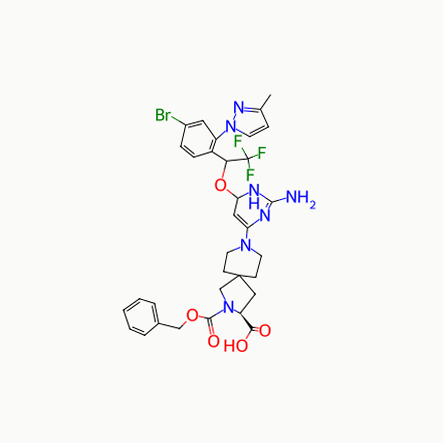 Cc1ccn(-c2cc(Br)ccc2C(OC2C=C(N3CCC4(CC3)C[C@@H](C(=O)O)N(C(=O)OCc3ccccc3)C4)N=C(N)N2)C(F)(F)F)n1